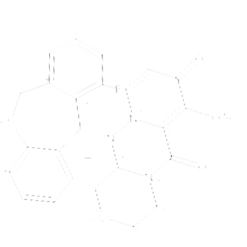 CC(=O)Oc1c2n(ccc1=O)N([C@@H]1c3ccccc3SCc3cccc(F)c31)[C@@H]1COCCN1C2=O